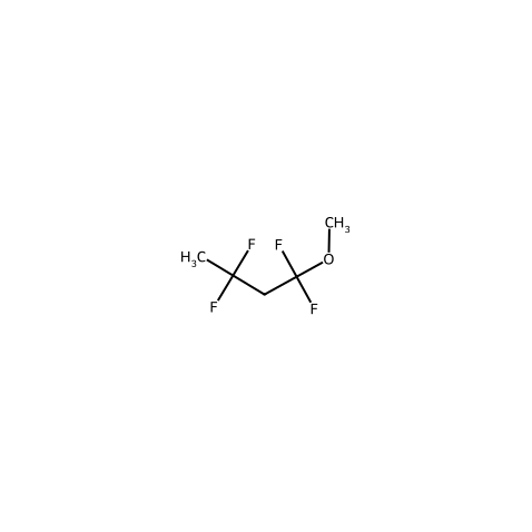 COC(F)(F)CC(C)(F)F